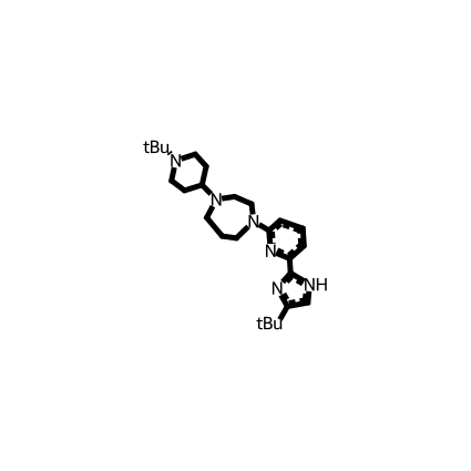 CC(C)(C)c1c[nH]c(-c2cccc(N3CCCN(C4CCN(C(C)(C)C)CC4)CC3)n2)n1